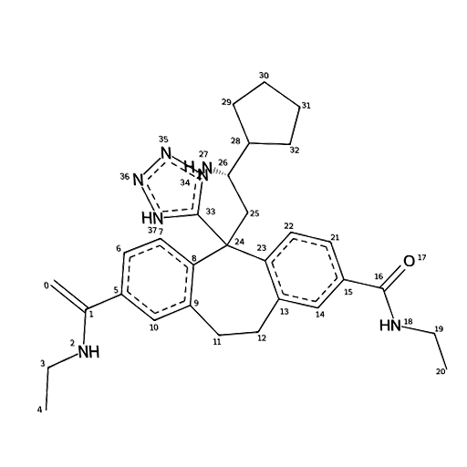 C=C(NCC)c1ccc2c(c1)CCc1cc(C(=O)NCC)ccc1C2(C[C@H](N)C1CCCC1)c1nnn[nH]1